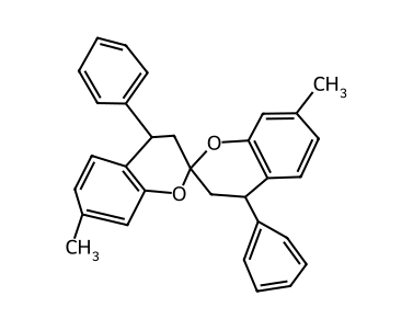 Cc1ccc2c(c1)OC1(CC2c2ccccc2)CC(c2ccccc2)c2ccc(C)cc2O1